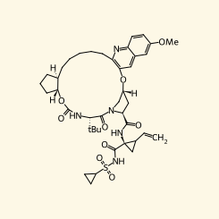 C=CC1C[C@]1(NC(=O)[C@@H]1C[C@@H]2CN1C(=O)[C@H](C(C)(C)C)NC(=O)O[C@@H]1CCC[C@H]1CCCCCc1nc3ccc(OC)cc3cc1O2)C(=O)NS(=O)(=O)C1CC1